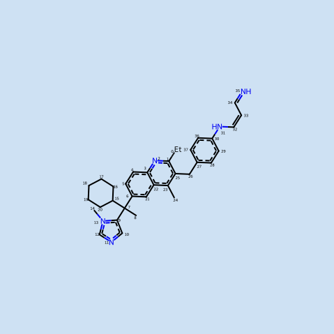 CCc1nc2ccc(C(C)(c3cncn3C)C3CCCCC3)cc2c(C)c1Cc1ccc(N/C=C\C=N)cc1